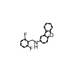 Fc1cccc(F)c1CNc1ccc2oc3ccccc3c2c1